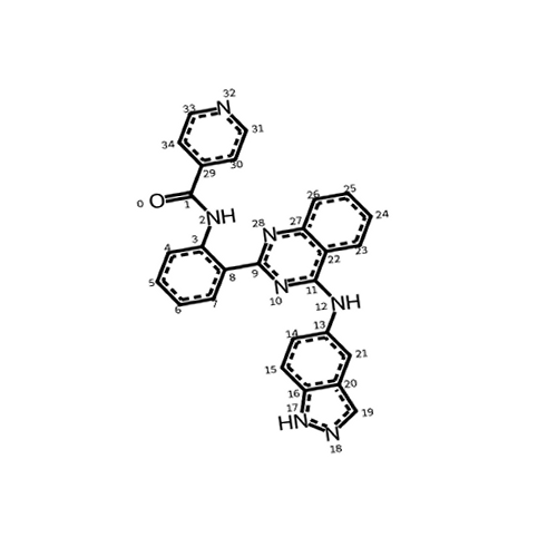 O=C(Nc1ccccc1-c1nc(Nc2ccc3[nH]ncc3c2)c2ccccc2n1)c1ccncc1